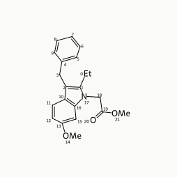 CCc1c(Cc2ccccc2)c2ccc(OC)cc2n1CC(=O)OC